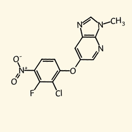 Cn1cnc2cc(Oc3ccc([N+](=O)[O-])c(F)c3Cl)cnc21